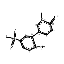 CCCc1ccc(S(C)(=O)=O)cc1-c1ccc(=O)n(C)c1